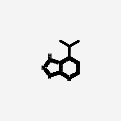 CC(C)c1ccnc2nn[nH]c12